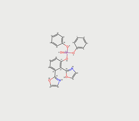 O=P(Oc1ccccc1)(Oc1ccccc1)Oc1cccc(-c2ncco2)c1-c1ncco1